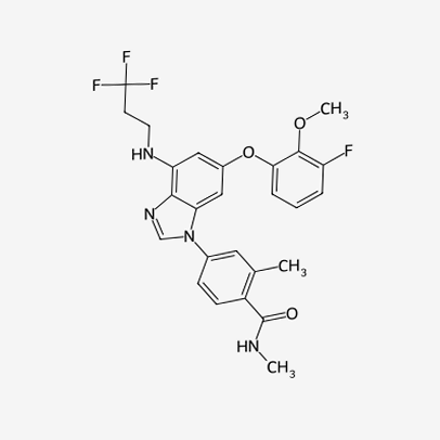 CNC(=O)c1ccc(-n2cnc3c(NCCC(F)(F)F)cc(Oc4cccc(F)c4OC)cc32)cc1C